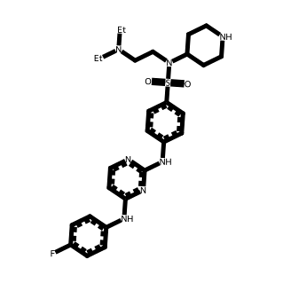 CCN(CC)CCN(C1CCNCC1)S(=O)(=O)c1ccc(Nc2nccc(Nc3ccc(F)cc3)n2)cc1